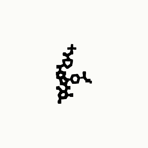 CC(C)(C)OC(=O)N1CCCC(Nc2ncc3nc(Nc4c(Cl)cc(Cl)cc4Cl)n([C@H]4CC[C@@H](C(N)=O)CC4)c3n2)C1